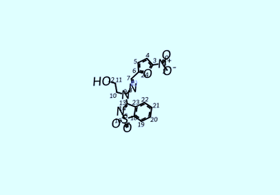 O=[N+]([O-])c1ccc(/C=N/N(CCO)C2=NS(=O)(=O)c3ccccc32)o1